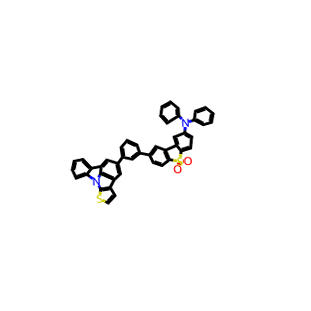 O=S1(=O)c2ccc(-c3cccc(-c4cc5c6ccccc6n6c7sccc7c(c4)c56)c3)cc2-c2cc(N(c3ccccc3)c3ccccc3)ccc21